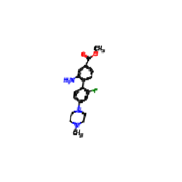 COC(=O)c1ccc(-c2ccc(N3CCN(C)CC3)cc2F)c(N)c1